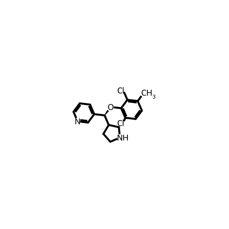 Cc1ccc(Cl)c(O[C@H](c2cccnc2)C2CCNC2)c1Cl